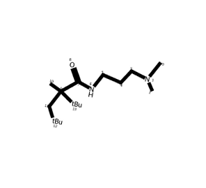 CN(C)CCCNC(=O)C(C)(CC(C)(C)C)C(C)(C)C